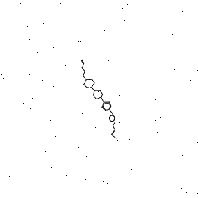 C=CCCCC1CCC(C2CCC(c3ccc(COCCC=CC)cc3)CC2)CC1